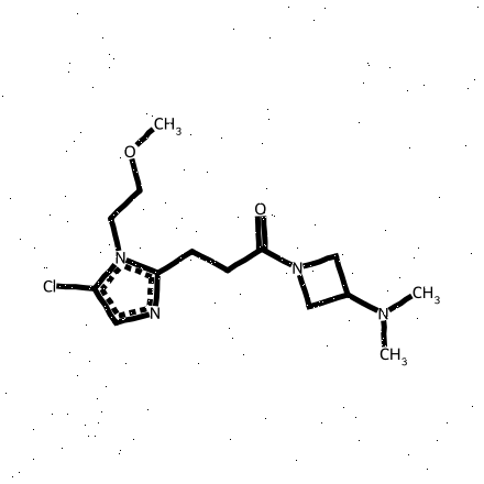 COCCn1c(Cl)cnc1CCC(=O)N1CC(N(C)C)C1